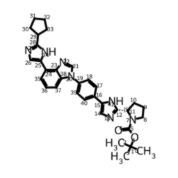 CC(C)(C)OC(=O)N1CCC[C@H]1c1ncc(-c2ccc(-n3cnc4c(-c5cnc(C6CCCC6)[nH]5)cccc43)cc2)[nH]1